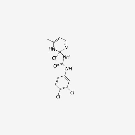 CC1=CC=NC(Cl)(NC(=O)Nc2ccc(Cl)c(Cl)c2)N1